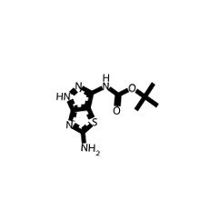 CC(C)(C)OC(=O)Nc1n[nH]c2nc(N)sc12